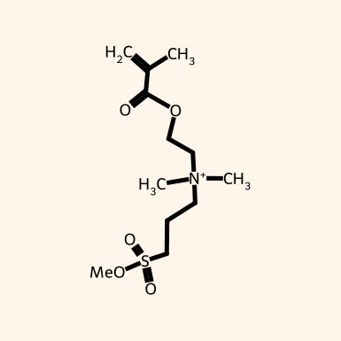 C=C(C)C(=O)OCC[N+](C)(C)CCCS(=O)(=O)OC